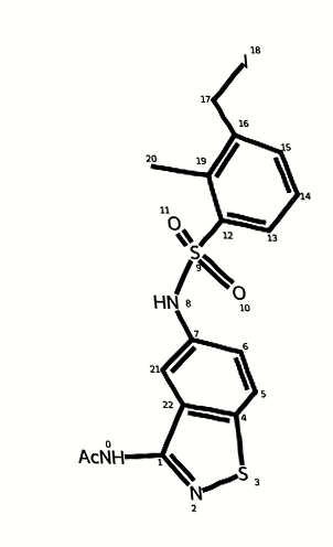 CC(=O)Nc1nsc2ccc(NS(=O)(=O)c3cccc(CI)c3C)cc12